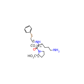 NCCCC[C@H](N[C@@H](CSc1ccccc1)C(=O)O)C(=O)N1CCC[C@H]1C(=O)O